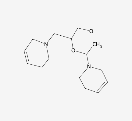 CC(OC(C[O])CN1CC=CCC1)N1CC=CCC1